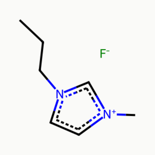 CCCn1cc[n+](C)c1.[F-]